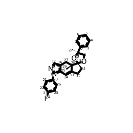 C[C@]1(c2ccccc2)CO[C@@]2(CCC3=Cc4c(cnn4-c4ccc(F)cc4)C[C@@]32C)O1